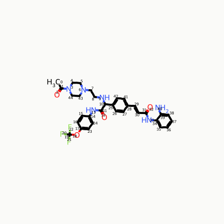 CC(=O)N1CCN(CCNC(C(=O)Nc2ccc(OC(F)(F)F)cc2)c2ccc(/C=C/C(=O)Nc3ccccc3N)cc2)CC1